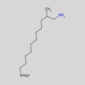 CCCCCCCCCCCCCCCCC(C)CN